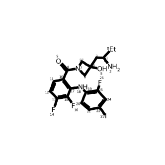 CCC(N)CC1(O)CN(C(=O)c2ccc(F)c(F)c2Nc2ccc(I)cc2F)C1